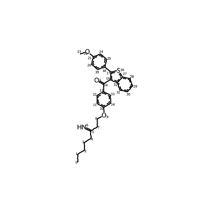 CCCCCC(=N)CCOc1ccc(C(=O)c2c(-c3ccc(OC)cc3)sc3ccccc23)cc1